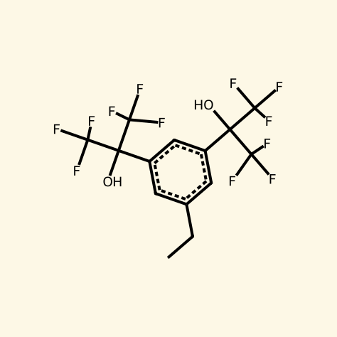 CCc1cc(C(O)(C(F)(F)F)C(F)(F)F)cc(C(O)(C(F)(F)F)C(F)(F)F)c1